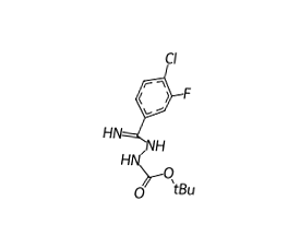 CC(C)(C)OC(=O)NNC(=N)c1ccc(Cl)c(F)c1